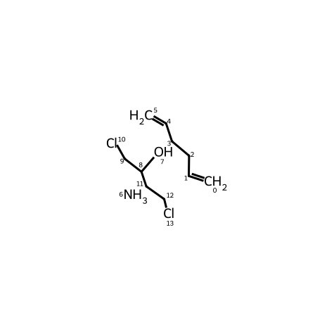 C=CCCC=C.N.OC(CCl)CCCl